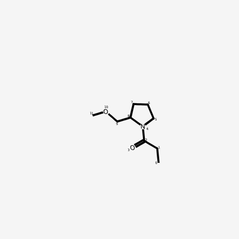 CCC(=O)N1CCCC1COC